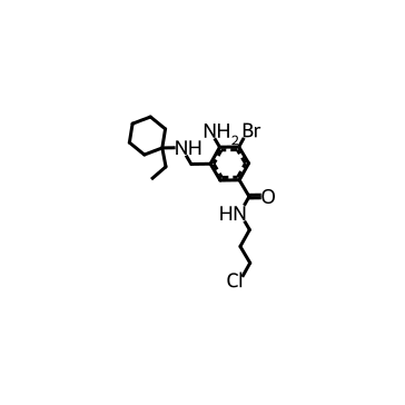 CCC1(NCc2cc(C(=O)NCCCCl)cc(Br)c2N)CCCCC1